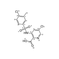 Cc1cc(S(=O)(=O)Nc2cc(Cl)cnc2C(=O)O)ccc1Cl